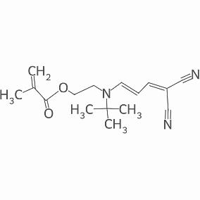 C=C(C)C(=O)OCCN(/C=C/C=C(C#N)C#N)C(C)(C)C